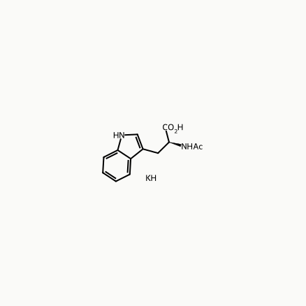 CC(=O)N[C@@H](Cc1c[nH]c2ccccc12)C(=O)O.[KH]